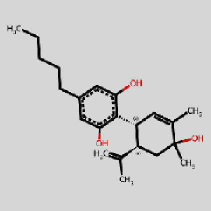 C=C(C)[C@@H]1CC(C)(O)C(C)=C[C@H]1c1c(O)cc(CCCCC)cc1O